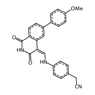 COc1ccc(-c2ccc3c(c2)/C(=C/Nc2ccc(CC#N)cc2)C(=O)NC3=O)cc1